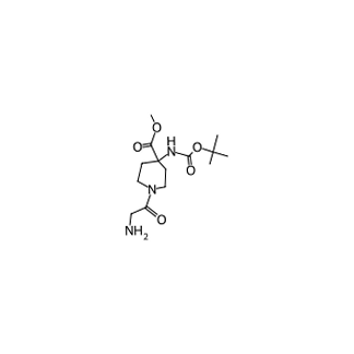 COC(=O)C1(NC(=O)OC(C)(C)C)CCN(C(=O)CN)CC1